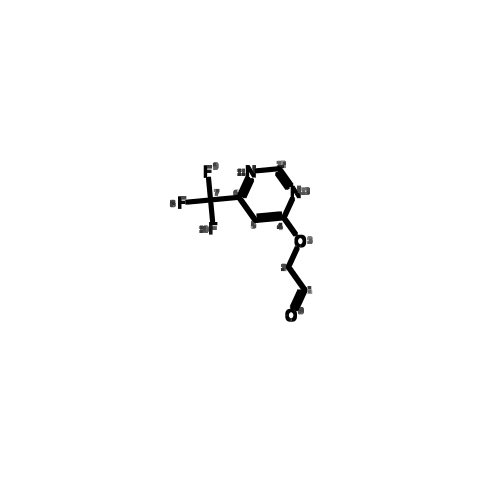 O=CCOc1cc(C(F)(F)F)ncn1